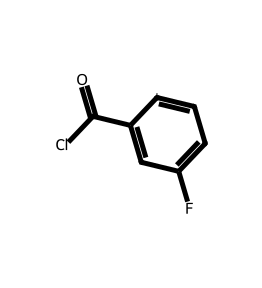 O=C(Cl)c1[c]ccc(F)c1